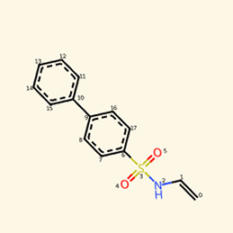 C=CNS(=O)(=O)c1ccc(-c2ccccc2)cc1